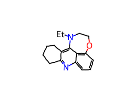 CCN1CCOc2cccc3nc4c(c1c23)CCCC4